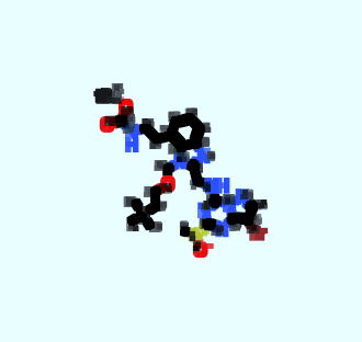 C[S+]([O-])c1nc(NCc2nc3cccc(CCNC(=O)OC(C)(C)C)c3n2COCC[Si](C)(C)C)n2ncc(Br)c2n1